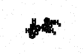 NC(=O)[C@@H]1CCCN1c1cc(-c2cc3c4c(n[nH]c4c2)Nc2ccccc2O3)nc(N)n1